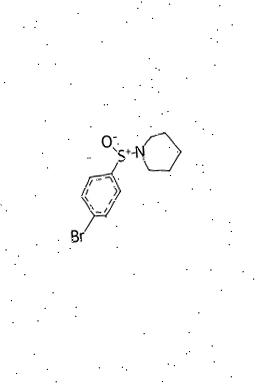 [O-][S+](c1ccc(Br)cc1)N1CCCCC1